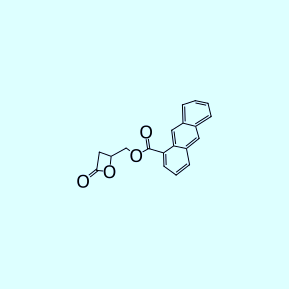 O=C1CC(COC(=O)c2cccc3cc4ccccc4cc23)O1